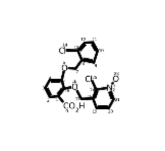 O=C(O)c1cccc(OCc2ccccc2Cl)c1OCc1ccc[n+]([O-])c1Cl